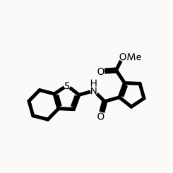 COC(=O)C1=C(C(=O)Nc2cc3c(s2)CCCC3)CCC1